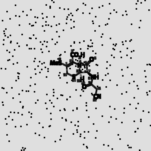 CSC1=C(C(=O)O)N2C(=O)[C@@H](NC(=O)CC#N)[C@H]2SC1